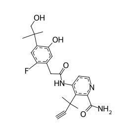 C#CC(C)(C)c1c(NC(=O)Cc2cc(O)c(C(C)(C)CO)cc2F)ccnc1C(N)=O